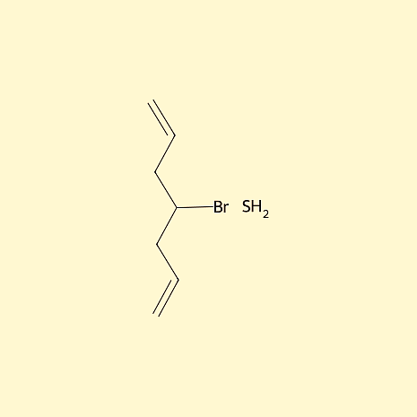 C=CCC(Br)CC=C.S